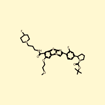 COCCOc1cc2c(cc1C(=O)NCCCN1CCC(F)CC1)sc1nc(-c3ccc(C4CCCN4C(=O)OC(C)(C)C)cc3F)cn12